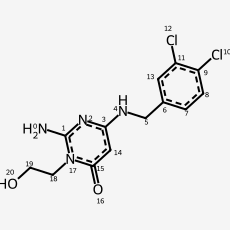 Nc1nc(NCc2ccc(Cl)c(Cl)c2)cc(=O)n1CCO